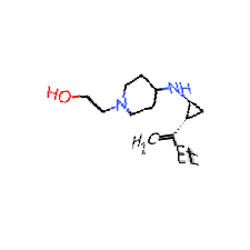 C=C(CC)[C@H]1C[C@@H]1NC1CCN(CCO)CC1